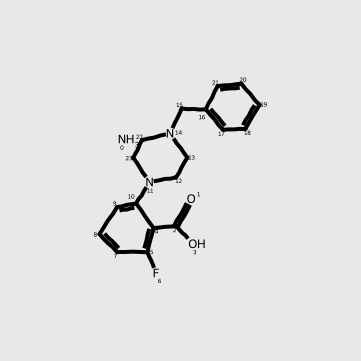 N.O=C(O)c1c(F)cccc1N1CCN(Cc2ccccc2)CC1